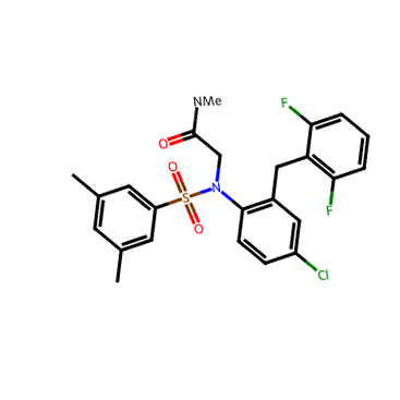 CNC(=O)CN(c1ccc(Cl)cc1Cc1c(F)cccc1F)S(=O)(=O)c1cc(C)cc(C)c1